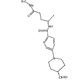 CC(CCC(=O)NC=O)NC(=O)c1ccc(N2CCC(C=O)CC2)cn1